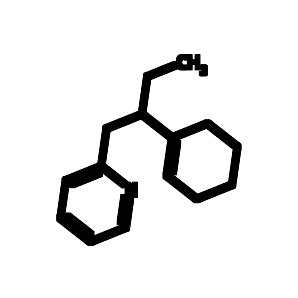 CCC(Cc1ccccn1)C1=CCCCC1